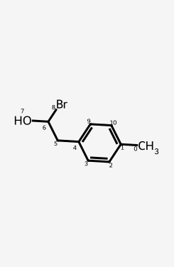 Cc1ccc(CC(O)Br)cc1